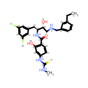 CCc1cccc(CNC[C@@H](O)[C@H](Cc2cc(F)cc(F)c2)NC(=O)c2ccc(NC(=S)NC)cc2O)c1